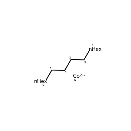 CCCCCCCCCCCCCCCC.[Co+2]